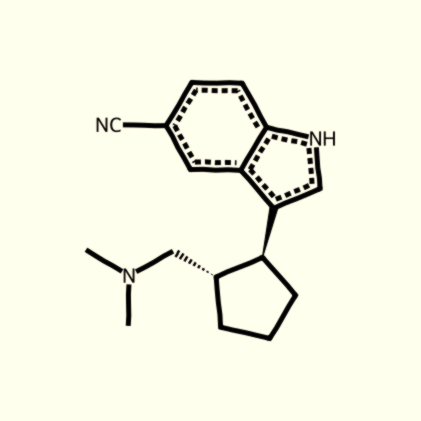 CN(C)C[C@H]1CCC[C@@H]1c1c[nH]c2ccc(C#N)cc12